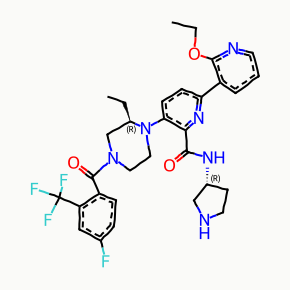 CCOc1ncccc1-c1ccc(N2CCN(C(=O)c3ccc(F)cc3C(F)(F)F)C[C@H]2CC)c(C(=O)N[C@@H]2CCNC2)n1